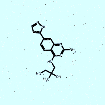 CC(O)(CO)CNc1nc(N)nc2cc(-c3ccn[nH]3)ccc12